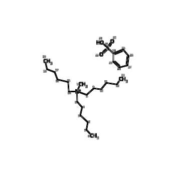 CCCCCC[N+](C)(CCCCCC)CCCCCC.O=S(=O)(O)c1ccccc1